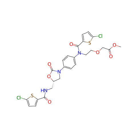 COC(=O)COCCN(C(=O)c1ccc(Cl)s1)c1ccc(N2C[C@H](CNC(=O)c3ccc(Cl)s3)OC2=O)cc1